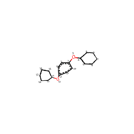 c1cc(OC2CCCCC2)ccc1OC1CCCCC1